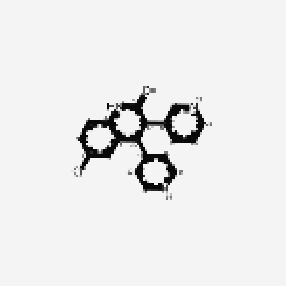 O=c1[nH]c2ccc(Cl)cc2c(-c2ccncc2)c1-c1cccnc1